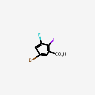 O=C(O)c1cc(Br)cc(F)c1I